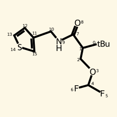 CC(C)(C)[C](COC(F)F)C(=O)NCc1ccsc1